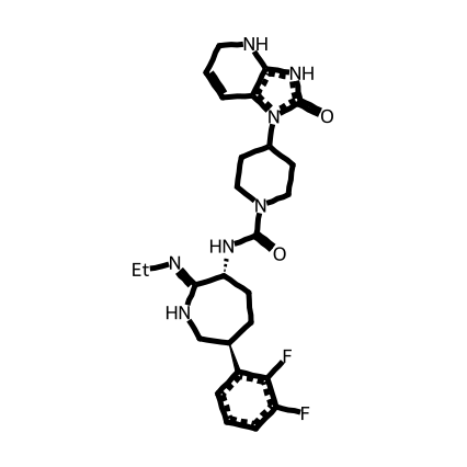 CC/N=C1\NC[C@H](c2cccc(F)c2F)CC[C@H]1NC(=O)N1CCC(n2c3c([nH]c2=O)NCC=C3)CC1